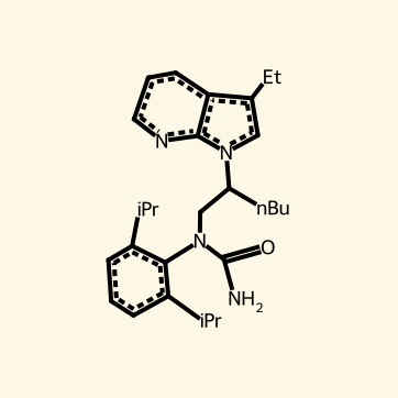 CCCCC(CN(C(N)=O)c1c(C(C)C)cccc1C(C)C)n1cc(CC)c2cccnc21